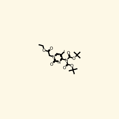 CCOC(=O)Cn1cc(I)c(N(C(=O)OC(C)(C)C)C(=O)OC(C)(C)C)nc1=O